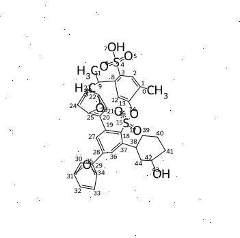 Cc1cc(S(=O)(=O)O)c(C(C)C)cc1OS(=O)(=O)c1c(-c2cc3ccc2o3)cc(-c2cc3ccc2o3)cc1C1CCCC(O)C1